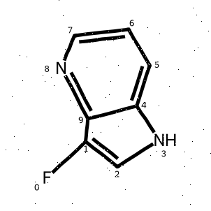 Fc1c[nH]c2cccnc12